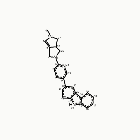 CN1C=C2CN(c3ccc(-c4ccc5[nH]c6ccccc6c5c4)cn3)CC2C1